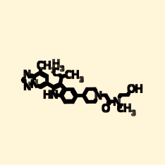 Cc1cc(-c2[nH]c3ccc(C4CCN(CC(=O)N(C)CCO)CC4)cc3c2C(C)C)cn2ncnc12